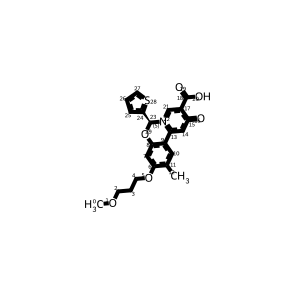 COCCCOc1cc2c(cc1C)-c1cc(=O)c(C(=O)O)cn1[C@H](c1cccs1)O2